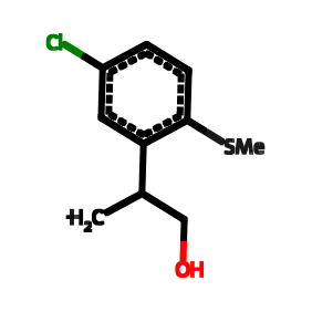 [CH2]C(CO)c1cc(Cl)ccc1SC